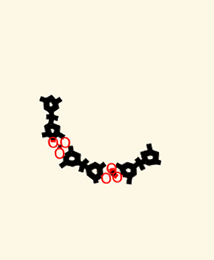 Cc1cc(C)cc(C(C)(C)c2cc(C)c(OC(=O)Oc3c(C)cc(C(C)(C)c4cc(C)c(OC(=O)Oc5c(C)cc(C(C)(C)c6cc(C)cc(C)c6)cc5C)c(C)c4)cc3C)c(C)c2)c1